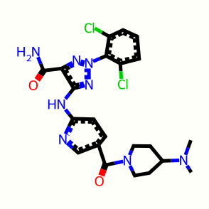 CN(C)C1CCN(C(=O)c2ccc(Nc3nn(-c4c(Cl)cccc4Cl)nc3C(N)=O)nc2)CC1